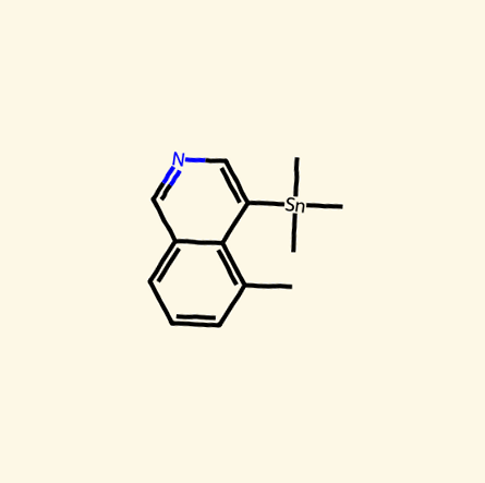 Cc1cccc2cnc[c]([Sn]([CH3])([CH3])[CH3])c12